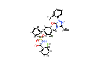 CCCCc1nn(-c2ccccc2C(F)(F)F)c(=O)n1Cc1ccc(-c2ccccc2S(=O)(=O)NC(=O)c2ccccc2F)cc1F